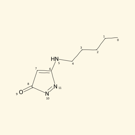 CCCCCNC1=CC(=O)N=N1